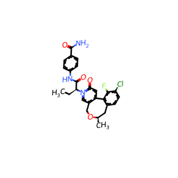 CC[C@@H](C(=O)Nc1ccc(C(N)=O)cc1)n1cc2c(cc1=O)-c1c(ccc(Cl)c1F)C[C@@H](C)OC2